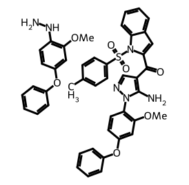 COc1cc(Oc2ccccc2)ccc1-n1ncc(C(=O)c2cc3ccccc3n2S(=O)(=O)c2ccc(C)cc2)c1N.COc1cc(Oc2ccccc2)ccc1NN